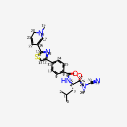 CC(C)C[C@H](NC(=O)c1ccc(-c2csc(C3=CN(C)CC=C3)n2)cc1)C(=O)N(C)C#N